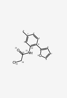 Cc1ccc(-c2ccco2)c(NC(=O)CCl)c1